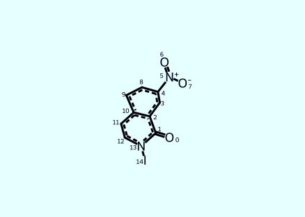 O=c1c2cc([N+](=O)[O-])ccc2ccn1I